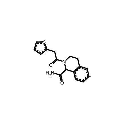 NC(=O)C1c2cc[c]cc2CCN1C(=O)Cc1cccs1